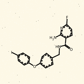 Nc1nc(F)ccc1C(=O)NCc1ccc(Oc2ccc(I)cc2)cc1